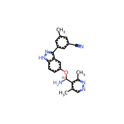 Cc1cc(C#N)cc(-c2n[nH]c3ccc(O[C@H](N)c4c(C)cnnc4C)cc23)c1